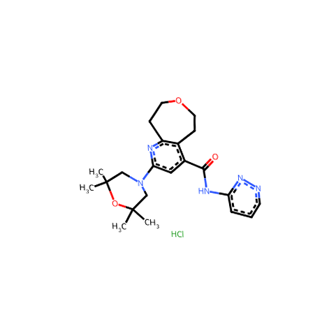 CC1(C)CN(c2cc(C(=O)Nc3cccnn3)c3c(n2)CCOCC3)CC(C)(C)O1.Cl